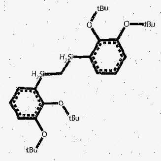 CC(C)(C)Oc1cccc([SiH2]C[SiH2]c2cccc(OC(C)(C)C)c2OC(C)(C)C)c1OC(C)(C)C